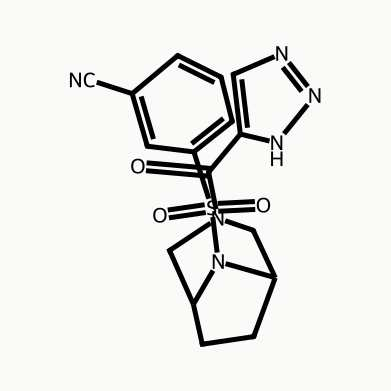 N#Cc1cccc(S(=O)(=O)N2C3CCC2CN(C(=O)c2cnn[nH]2)C3)c1